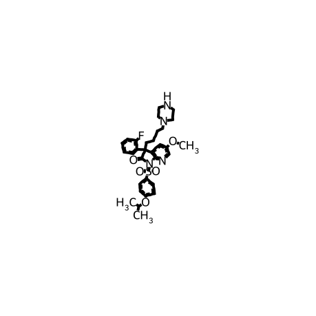 COc1cnc2c(c1)C(CCCCN1CCNCC1)(c1ccccc1F)C(=O)N2S(=O)(=O)c1ccc(OC(C)C)cc1